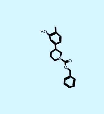 Cc1ccc(C2CCCN(C(=O)OCc3ccccc3)C2)cc1O